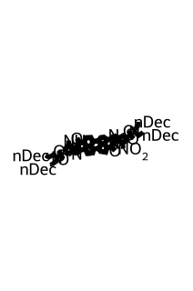 CCCCCCCCCCCCN(CCCCCCCCCCCC)S(=O)(=O)c1cc(N)c2c(c1)nc1c3ccc4c5ccc6c(=O)n7c(nc8cc(S(=O)(=O)N(CCCCCCCCCCCC)CCCCCCCCCCCC)cc([N+](=O)[O-])c87)c7ccc(c8ccc(c(=O)n12)c3c48)c5c67